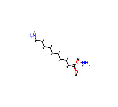 NCCCCCCCCCC(=O)ON